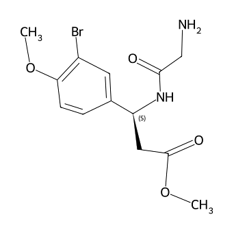 COC(=O)C[C@H](NC(=O)CN)c1ccc(OC)c(Br)c1